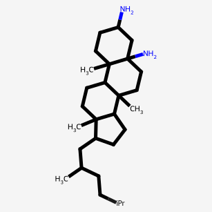 CC(C)CCC(C)CC1CCC2C1(C)CCC1C2(C)CCC2(N)CC(N)CCC12C